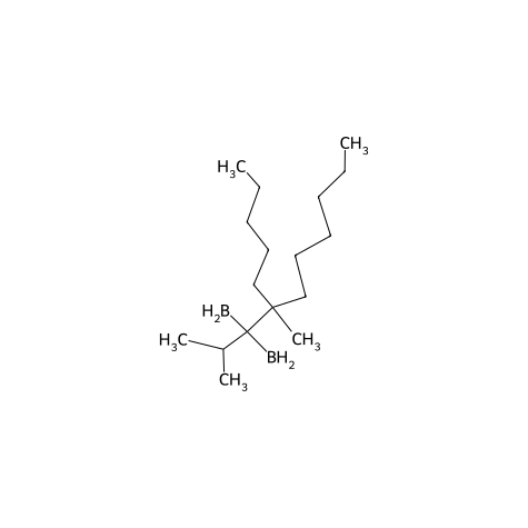 BC(B)(C(C)C)C(C)(CCCCC)CCCCCC